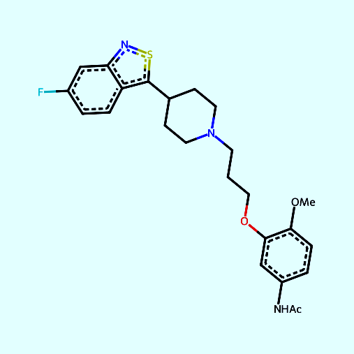 COc1ccc(NC(C)=O)cc1OCCCN1CCC(c2snc3cc(F)ccc23)CC1